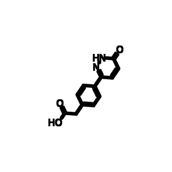 O=C(O)Cc1ccc(-c2ccc(=O)[nH]n2)cc1